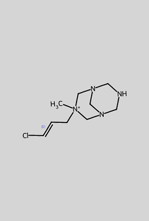 C[N+]1(C/C=C/Cl)CN2CNCN(C2)C1